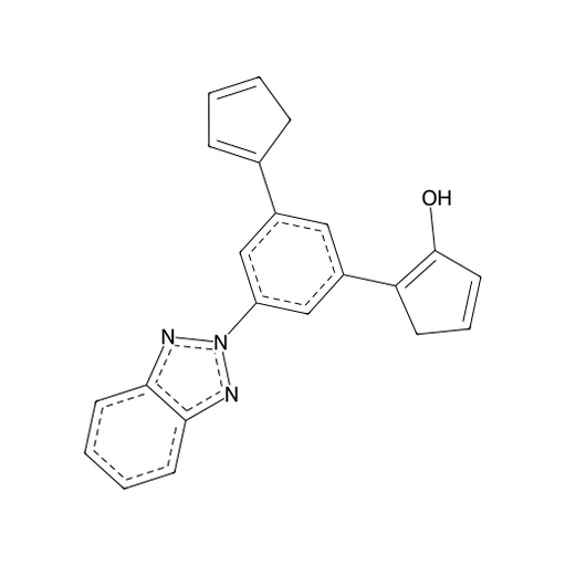 OC1=C(c2cc(C3=CC=CC3)cc(-n3nc4ccccc4n3)c2)CC=C1